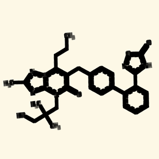 CCCc1c(Cc2ccc(-c3ccccc3-c3noc(=O)[nH]3)cc2)c(=O)n(CC(C)(C)CO)c2nc(C)nn12